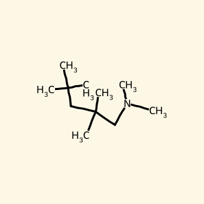 CN(C)CC(C)(C)CC(C)(C)C